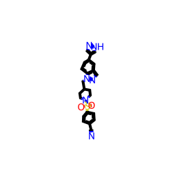 N#Cc1ccc(S(=O)(=O)N2CCC(Cn3ncc4cc(-c5cn[nH]c5)ccc43)CC2)cc1